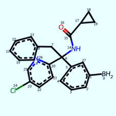 Bc1cccc(C(Cc2ccccc2)(NC(=O)C2CC2)c2ccc(Cl)cn2)c1